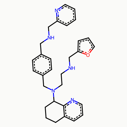 c1ccc(CNCc2ccc(CN(CCNCc3ccco3)C3CCCc4cccnc43)cc2)nc1